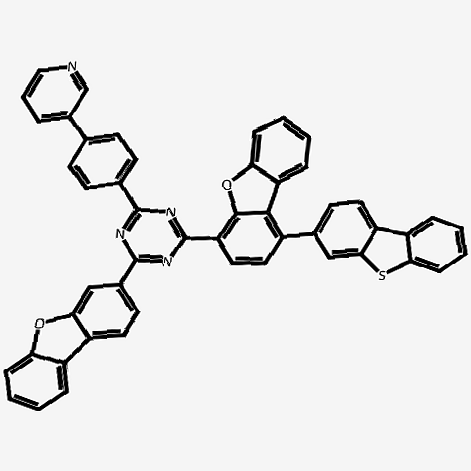 c1cncc(-c2ccc(-c3nc(-c4ccc5c(c4)oc4ccccc45)nc(-c4ccc(-c5ccc6c(c5)sc5ccccc56)c5c4oc4ccccc45)n3)cc2)c1